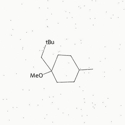 COC1(CC(C)(C)C)CCC(C)CC1